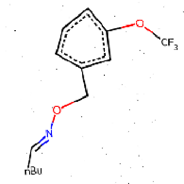 CCCCC=NOCc1cccc(OC(F)(F)F)c1